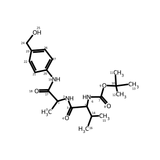 CC(NC(=O)C(NC(=O)OC(C)(C)C)C(C)C)C(=O)Nc1ccc(CO)cc1